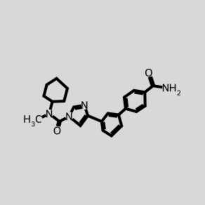 CN(C(=O)n1cnc(-c2cccc(-c3ccc(C(N)=O)cc3)c2)c1)C1CCCCC1